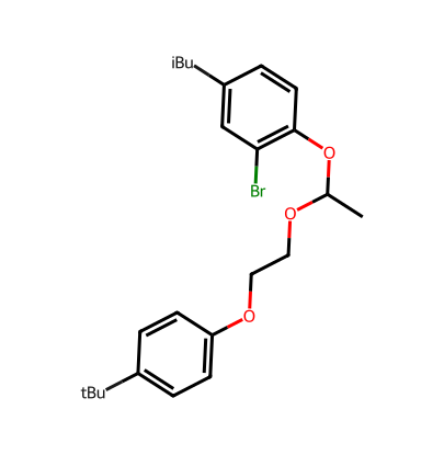 CCC(C)c1ccc(OC(C)OCCOc2ccc(C(C)(C)C)cc2)c(Br)c1